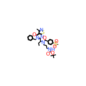 CCC(c1nc2snc(C)c2c(=O)n1Cc1ccccc1)N(CCCNC(=O)OC(C)(C)C)C(=O)c1ccc(S(C)(=O)=O)cc1